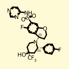 O=S(=O)(Nc1ccncn1)c1cc2c(cc1F)[C@@H](N1CC[C@@](O)(C(F)(F)F)C[C@H]1c1ccc(F)cc1)CCO2